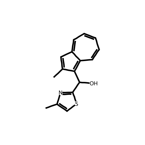 Cc1csc(C(O)c2c(C)cc3cccccc2-3)n1